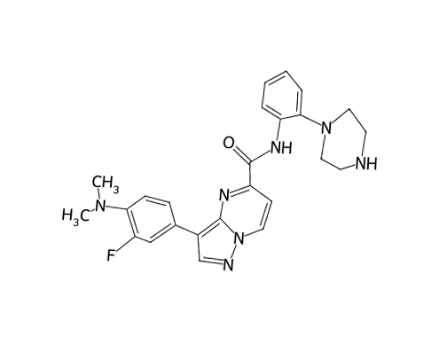 CN(C)c1ccc(-c2cnn3ccc(C(=O)Nc4ccccc4N4CCNCC4)nc23)cc1F